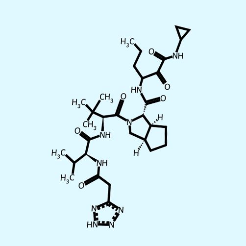 CCCC(NC(=O)[C@@H]1[C@H]2CCC[C@H]2CN1C(=O)[C@@H](NC(=O)[C@@H](NC(=O)Cc1nn[nH]n1)C(C)C)C(C)(C)C)C(=O)C(=O)NC1CC1